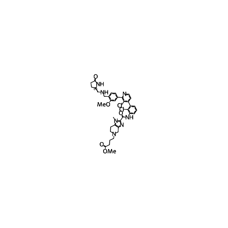 COC(=O)CCCN1CCc2c(nc(C(=O)Nc3cccc(-c4ccnc(-c5ccc(CNC[C@H]6CCC(=O)N6)c(OC)c5)c4Cl)c3Cl)n2C)C1